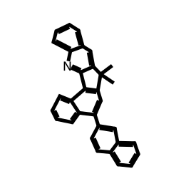 CC1(C)c2cc3ccccc3nc2-c2c1cc(-c1ccc3ccccc3c1)c1ccccc21